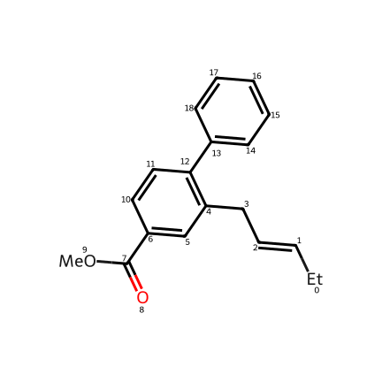 CCC=CCc1cc(C(=O)OC)ccc1-c1ccccc1